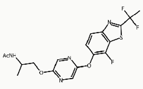 CC(=O)NC(C)COc1cnc(Oc2ccc3nc(C(C)(F)F)sc3c2F)cn1